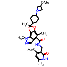 COC1CN(C2CCC(C3(C)Oc4c(C)c(C(=O)NCc5c(SC)cc(C)[nH]c5=O)c5cnn(C)c5c4O3)CC2)C1